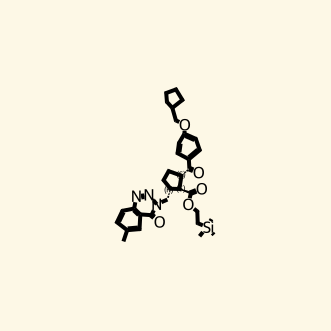 Cc1ccc2nnn(C[C@@H]3CC[C@H](C(=O)c4ccc(OCC5CCCC5)cc4)[C@H]3C(=O)OCC[Si](C)(C)C)c(=O)c2c1